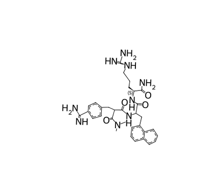 CN(C)C(=O)C(Cc1ccc(C(=N)N)cc1)C(=O)NC(Cc1cccc2ccccc12)C(=O)N[C@@H](CCCNC(=N)N)C(N)=O